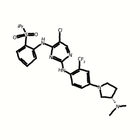 CC(C)S(=O)(=O)c1ccccc1Nc1nc(Nc2ccc(N3CC[C@H](N(C)C)C3)cc2C(F)(F)F)ncc1Cl